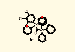 O=C([PH](c1ccccc1)(c1ccccc1)c1ccccc1)[PH](c1ccccc1)(c1ccccc1)c1ccc(Cl)c(Cl)c1Cl.[Re]